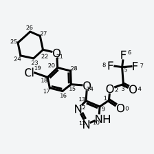 O=C(OC(=O)C(F)(F)F)c1[nH]nnc1Oc1ccc(Cl)c(OC2CCCCC2)c1